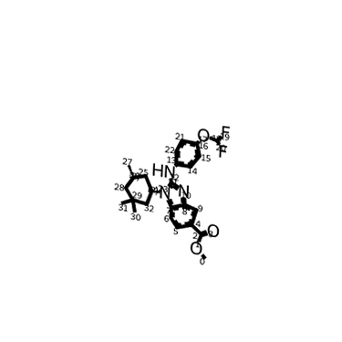 COC(=O)c1ccc2c(c1)nc(Nc1ccc(OC(F)F)cc1)n2[C@@H]1C[C@H](C)CC(C)(C)C1